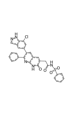 O=C(Cc1cc2cc(-c3cc(Cl)c4[nH]ncc4c3)c(-c3ccccc3)nc2[nH]c1=O)NS(=O)(=O)c1ccccc1